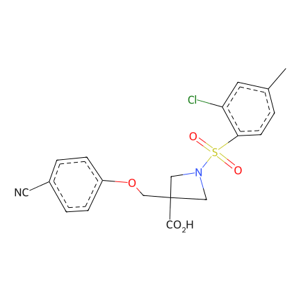 Cc1ccc(S(=O)(=O)N2CC(COc3ccc(C#N)cc3)(C(=O)O)C2)c(Cl)c1